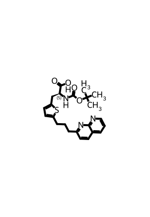 CC(C)(C)OC(=O)N[C@@H](Cc1ccc(CCCc2ccc3cccnc3n2)s1)C(=O)O